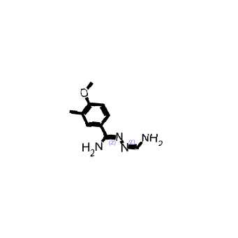 COc1ccc(/C(N)=N/N=C\N)cc1C